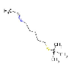 CC=NCCCCCS[Si](C)(C)C